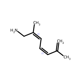 C=C(C)/C=C\C=C(\C)CN